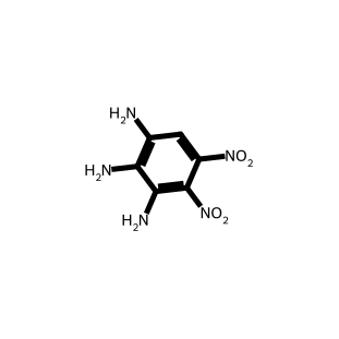 Nc1cc([N+](=O)[O-])c([N+](=O)[O-])c(N)c1N